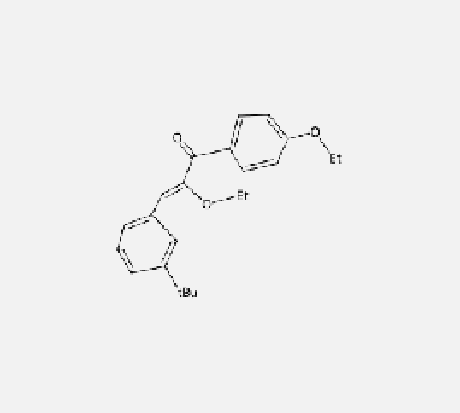 CCOC(=Cc1cccc(C(C)(C)C)c1)C(=O)c1ccc(OCC)cc1